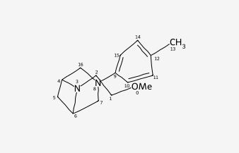 COCCN1C2CC1CN(c1ccc(C)cc1)C2